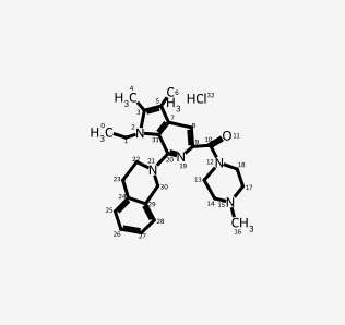 CCn1c(C)c(C)c2cc(C(=O)N3CCN(C)CC3)nc(N3CCc4ccccc4C3)c21.Cl